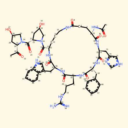 CC(=O)N[C@H]1CCC(=O)NCCC[C@@H](C(=O)N2C[C@H](O)C[C@H]2C(=O)N2C[C@H](O)C[C@H]2C(C)=O)NC(=O)[C@H](Cc2c[nH]c3ccccc23)NC(=O)[C@H](CCCNC(=N)N)NC(=O)[C@@H](Cc2ccccc2)NC(=O)[C@H](Cc2c[nH]cn2)NC1=O